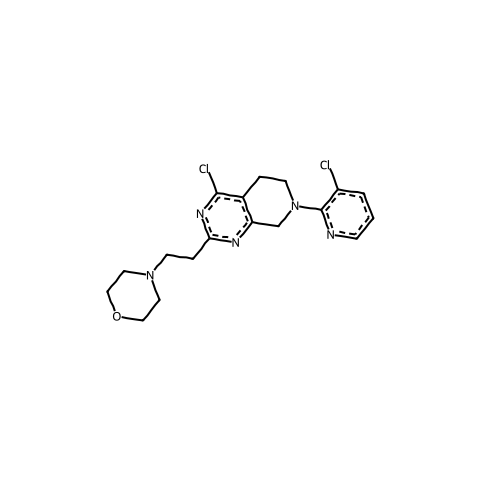 Clc1cccnc1N1CCc2c(Cl)nc(CCN3CCOCC3)nc2C1